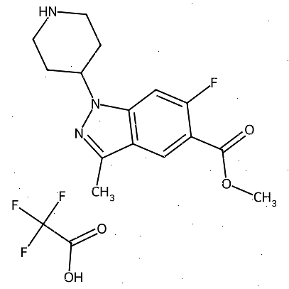 COC(=O)c1cc2c(C)nn(C3CCNCC3)c2cc1F.O=C(O)C(F)(F)F